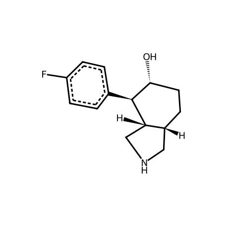 O[C@@H]1CC[C@@H]2CNC[C@@H]2[C@H]1c1ccc(F)cc1